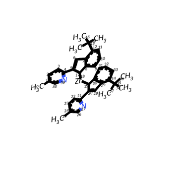 Cc1ccc(C2=Cc3c(cccc3C(C)(C)C)[CH]2[Zr][CH]2C(c3ccc(C)cn3)=Cc3c2cccc3C(C)(C)C)nc1